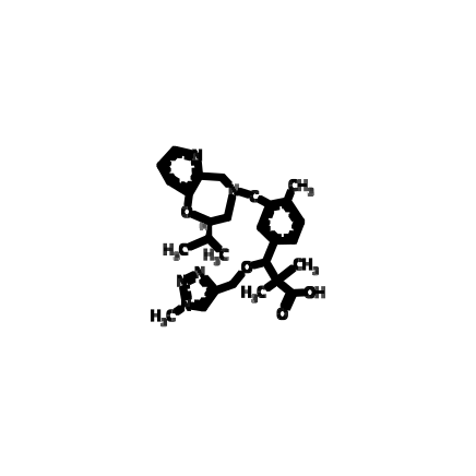 Cc1ccc(C(OCc2cn(C)nn2)C(C)(C)C(=O)O)cc1CN1Cc2ncccc2O[C@H](C(C)C)C1